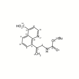 C=C(CNC(=O)OC(C)(C)C)c1cccc2c(C(=O)O)ccnc12